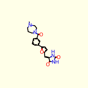 CN1CCCN(C(=O)c2cccc(-c3ccc(/C=C4\NC(=O)NC4=O)o3)c2)CC1